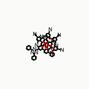 N#Cc1cc(C#N)c(-c2ccc3c(c2)c2cc(-c4c(C#N)cc(C#N)cc4C#N)ccc2n3-c2ccc(-c3nc(-c4ccccc4)nc(-c4ccccc4)n3)cc2-c2ccc(-c3ccccc3C#N)cc2-n2c3ccc(-c4c(C#N)cc(C#N)cc4C#N)cc3c3cc(-c4c(C#N)cc(C#N)cc4C#N)ccc32)c(C#N)c1